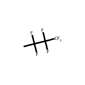 CC(F)(F)C(F)(F)C(F)(F)F